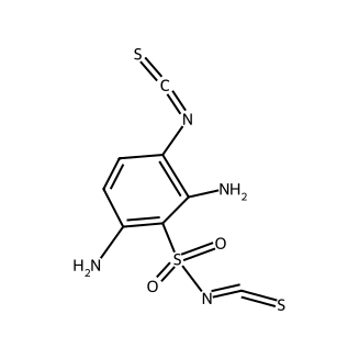 Nc1ccc(N=C=S)c(N)c1S(=O)(=O)N=C=S